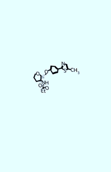 CCS(=O)(=O)N[C@H]1CCCO[C@@H]1COc1ccc(-c2ncc(C)s2)cc1